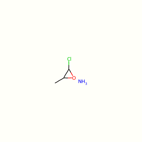 CC1OC1Cl.N